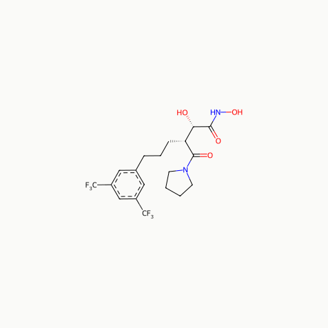 O=C(NO)[C@@H](O)[C@@H](CCCc1cc(C(F)(F)F)cc(C(F)(F)F)c1)C(=O)N1CCCC1